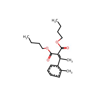 CCCCOC(=O)C(C(=O)OCCCC)=C(C)c1ccccc1C